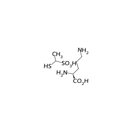 CC(S)S(=O)(=O)O.NCCC[C@H](N)C(=O)O